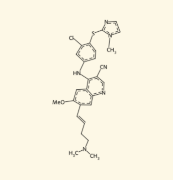 COc1cc2c(Nc3ccc(Sc4nccn4C)c(Cl)c3)c(C#N)cnc2cc1C=CCCN(C)C